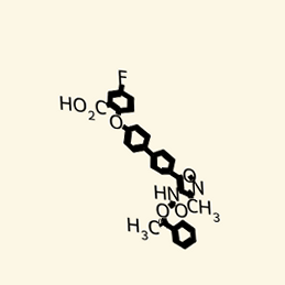 Cc1noc(-c2ccc(-c3ccc(Oc4ccc(F)cc4C(=O)O)cc3)cc2)c1NC(=O)O[C@H](C)c1ccccc1